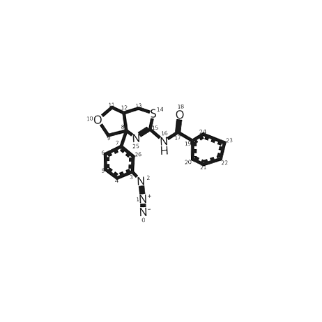 [N-]=[N+]=Nc1cccc(C23COCC2CSC(NC(=O)c2ccccc2)=N3)c1